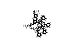 COc1ccc(Cc2c(Cl)cc(COC(C)=O)cc2O[C@@H]2O[C@H]([C@H](C)OC(=O)c3ccccc3)[C@@H](OC(=O)c3ccccc3)[C@H](OC(=O)c3ccccc3)[C@H]2OC(=O)c2ccccc2)cc1